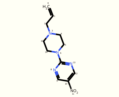 C=CCN1CCN(c2ncc([N+](=O)[O-])cn2)CC1